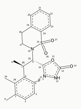 Cc1ccc(F)c([C@@H](C)[C@@H](c2n[nH]c(=O)o2)N2CCc3ccccc3S2(=O)=O)c1C